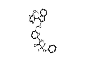 Cn1nnnc1-n1c(OCc2cccc(NC(=O)C(F)(F)Oc3ccccc3)n2)cc2ccccc21